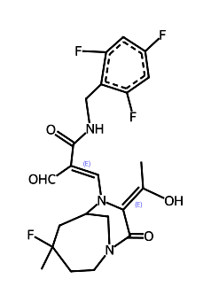 C/C(O)=C1/C(=O)N2CCC(C)(F)CC(C2)N1/C=C(\C=O)C(=O)NCc1c(F)cc(F)cc1F